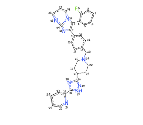 Fc1ccccc1-c1c(-c2ccc(CN3CCC(c4n[nH]c(-c5ccccn5)n4)CC3)cc2)nc2ncccn12